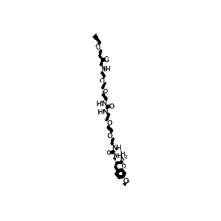 C#CCOCCC(=O)CNCCOCCOCCNC(=O)NCCOCCOCCNC(=O)NC[C@@H](Cc1ccc(OC)cc1)C(N)=O